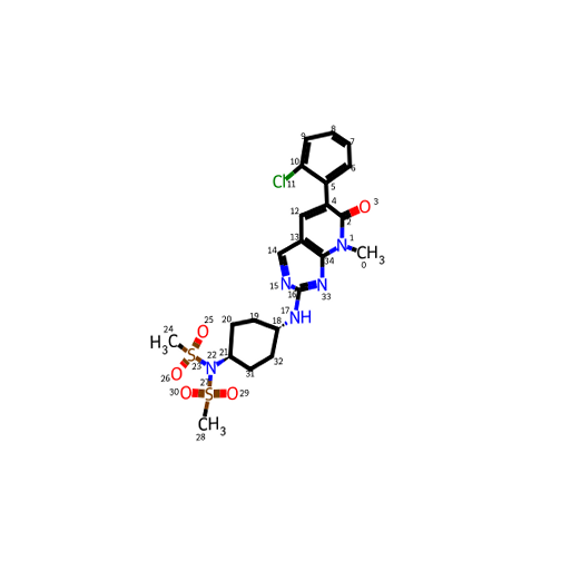 Cn1c(=O)c(-c2ccccc2Cl)cc2cnc(N[C@H]3CC[C@H](N(S(C)(=O)=O)S(C)(=O)=O)CC3)nc21